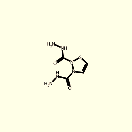 NNC(=O)N1C=CSN1C(=O)NN